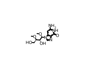 CO[C@H]([C@H](O)[C@@H](CO)OC)n1cnc2c(=O)[nH]c(N)cc21